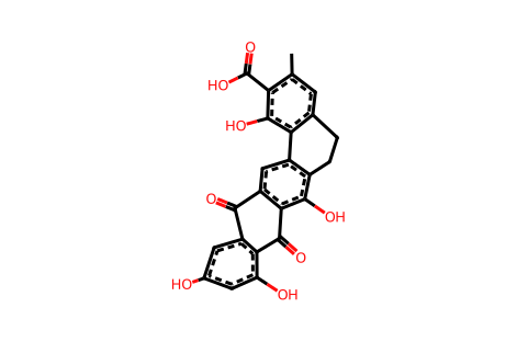 Cc1cc2c(c(O)c1C(=O)O)-c1cc3c(c(O)c1CC2)C(=O)c1c(O)cc(O)cc1C3=O